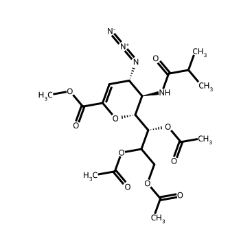 COC(=O)C1=C[C@H](N=[N+]=[N-])[C@@H](NC(=O)C(C)C)[C@H]([C@H](OC(C)=O)C(COC(C)=O)OC(C)=O)O1